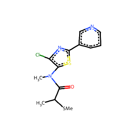 CSC(C)C(=O)N(C)c1sc(-c2cccnc2)nc1Cl